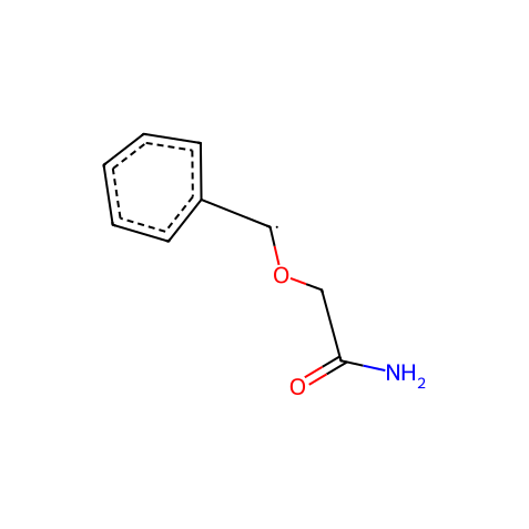 NC(=O)CO[CH]c1ccccc1